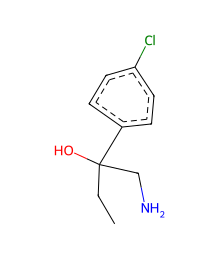 CCC(O)(CN)c1ccc(Cl)cc1